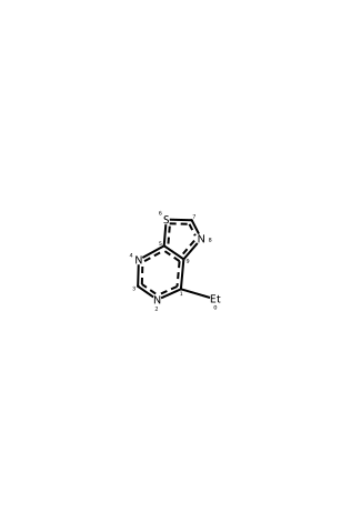 CCc1ncnc2scnc12